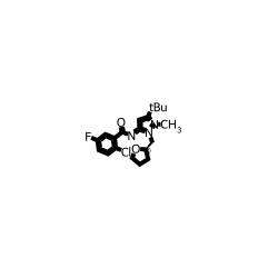 Cn1c(C(C)(C)C)cc(=NC(=O)c2cc(F)ccc2Cl)n1C[C@H]1CCCO1